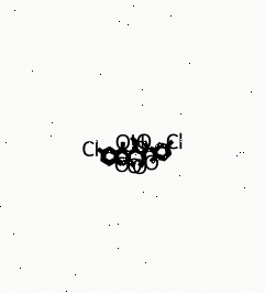 CC1Oc2c(c(=O)oc3ccc(Cl)cc23)C1c1c(O)c2cc(Cl)ccc2oc1=O